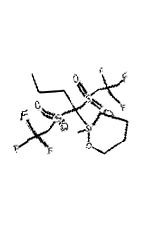 CCCC([Si]1(C)CCCCO1)(S(=O)(=O)C(F)(F)F)S(=O)(=O)C(F)(F)F